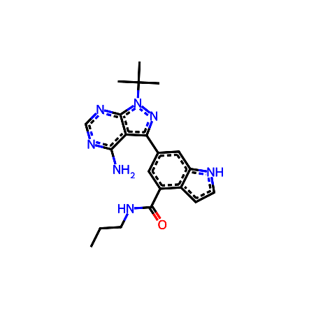 CCCNC(=O)c1cc(-c2nn(C(C)(C)C)c3ncnc(N)c23)cc2[nH]ccc12